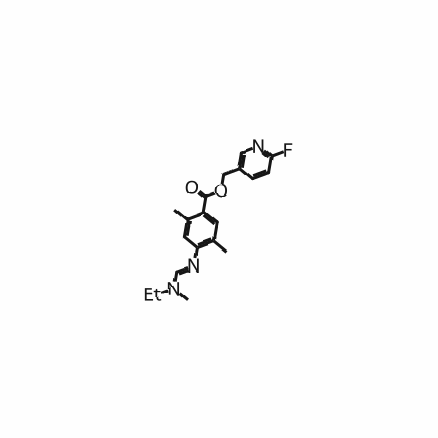 CCN(C)/C=N/c1cc(C)c(C(=O)OCc2ccc(F)nc2)cc1C